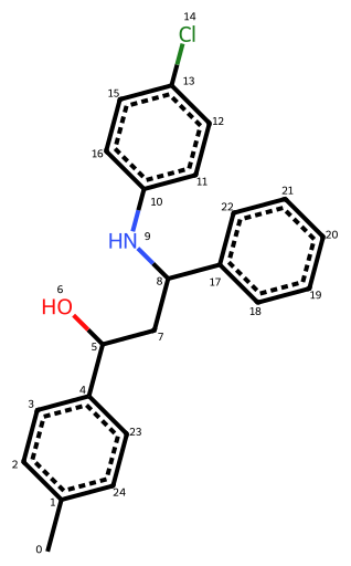 Cc1ccc(C(O)CC(Nc2ccc(Cl)cc2)c2ccccc2)cc1